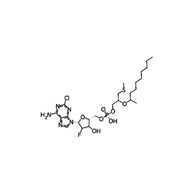 CCCCCCCCC(C)OC(COP(=O)(O)OC[C@H]1O[C@@H](n2cnc3c(N)nc(Cl)nc32)C(F)C1O)CSC